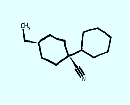 CC[C@H]1CC[C@](C#N)(C2CCCCC2)CC1